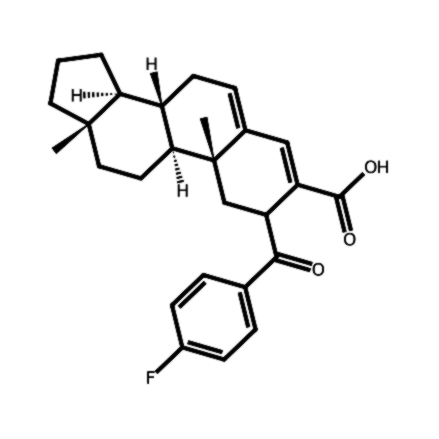 C[C@@]12CCC[C@H]1[C@@H]1CC=C3C=C(C(=O)O)C(C(=O)c4ccc(F)cc4)C[C@]3(C)[C@H]1CC2